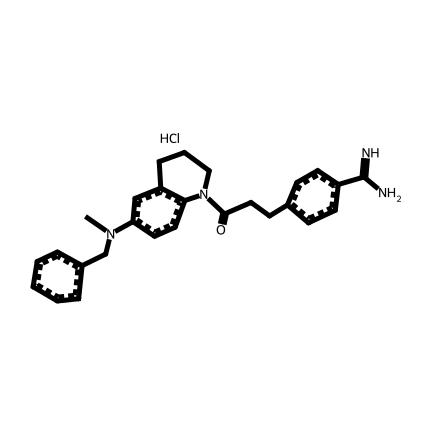 CN(Cc1ccccc1)c1ccc2c(c1)CCCN2C(=O)CCc1ccc(C(=N)N)cc1.Cl